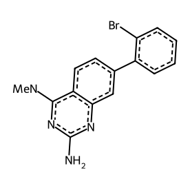 CNc1nc(N)nc2cc(-c3ccccc3Br)ccc12